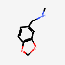 [CH]NCc1ccc2c(c1)OCO2